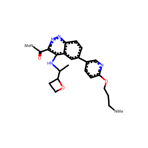 CNCCCOc1ccc(-c2ccc3nnc(C(=O)NC)c(NC(C)C4CCO4)c3c2)cn1